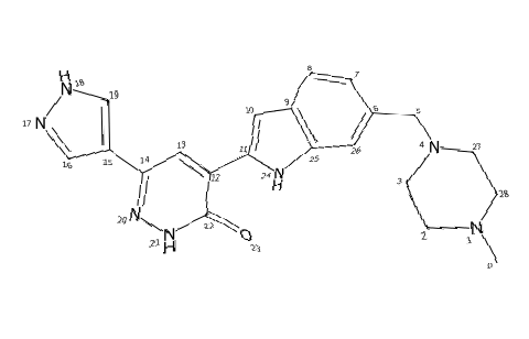 CN1CCN(Cc2ccc3cc(-c4cc(-c5cn[nH]c5)n[nH]c4=O)[nH]c3c2)CC1